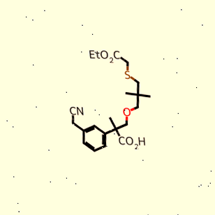 CCOC(=O)CSCC(C)(C)COCC(C)(C(=O)O)c1cccc(CC#N)c1